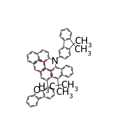 CC(C)(C)c1cc(-c2ccccc2)c(N(c2ccc3c(c2)-c2ccccc2C3(C)C)c2ccc3ccccc3c2-c2ccc(-c3cccc4c3oc3ccccc34)cc2)c2ccccc12